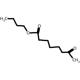 CCCCOC(=O)CCCC[CH]C(C)=O